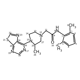 Cc1cccc(C)c1NC(=O)CN1CCN(c2ncnc3scnc23)C(C)C1